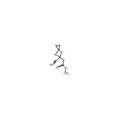 C#CC1(CC(=O)OC)CC2(CC2)C1